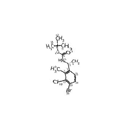 Cc1c([C@@H](C)NC(=O)OC(C)(C)C)ccc(Br)c1Cl